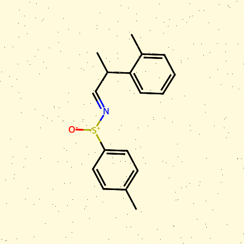 Cc1ccc([S+]([O-])/N=C/C(C)c2ccccc2C)cc1